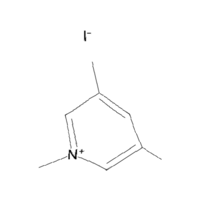 Cc1cc(C)c[n+](C)c1.[I-]